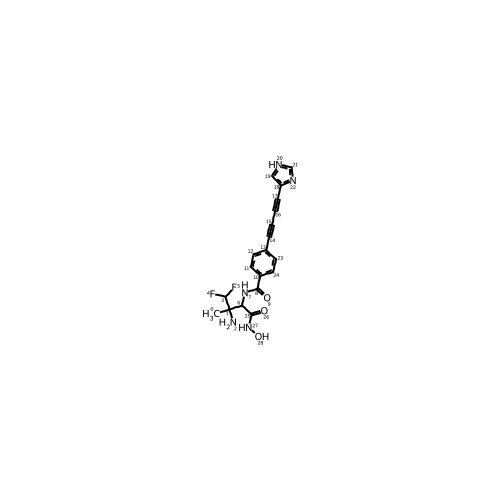 CC(N)(C(F)F)C(NC(=O)c1ccc(C#CC#Cc2c[nH]cn2)cc1)C(=O)NO